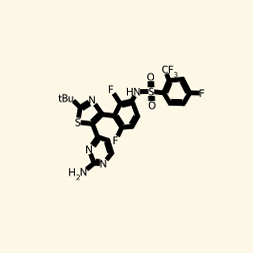 CC(C)(C)c1nc(-c2c(F)ccc(NS(=O)(=O)c3ccc(F)cc3C(F)(F)F)c2F)c(-c2ccnc(N)n2)s1